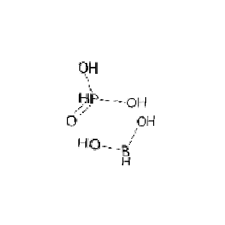 O=[PH](O)O.OBO